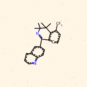 CC1(C)N=C(c2ccc3ncccc3c2)c2cccc(C(F)(F)F)c2C1(C)C